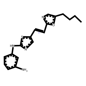 CCCCc1cnc(/C=C/c2cnc(Nc3cccc(N)c3)s2)o1